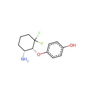 N[C@@H]1CCCC(F)(F)[C@@H]1Oc1ccc(O)cc1